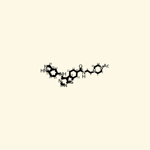 CC(=O)N1CCN(CCNC(=O)C2CCc3c(sc4ncnc(Nc5ccc6[nH]ncc6c5)c34)C2)CC1